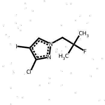 CC(C)(F)Cn1cc(I)c(Cl)n1